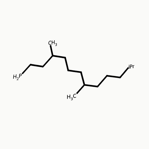 CC(C)CCCC(C)CCCC(C)CCP